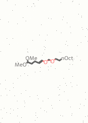 CCCCCCCCCCOCOC=CCCC(OC)OC